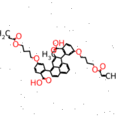 C=CC(=O)OCCCCOc1ccc(C(=O)O)c(-c2ccc3cccc4c3c2C=C(C)C4c2cc(OCCCCOC(=O)C=C)ccc2C(=O)O)c1